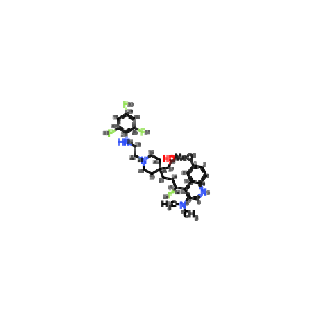 COc1ccc2ncc(N(C)C)c([C@@H](F)CCC3(CO)CCN(CCNc4c(F)cc(F)cc4F)CC3)c2c1